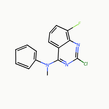 CN(c1ccccc1)c1nc(Cl)nc2c(F)cccc12